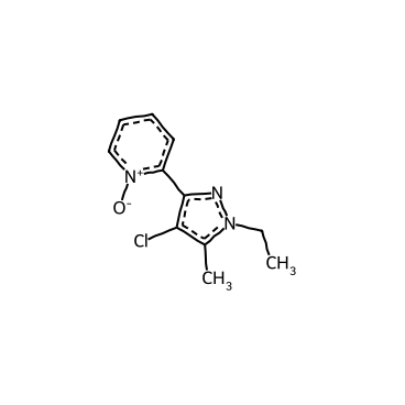 CCn1nc(-c2cccc[n+]2[O-])c(Cl)c1C